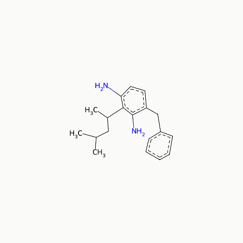 CC(C)CC(C)c1c(N)ccc(Cc2ccccc2)c1N